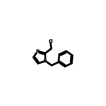 ClCc1nccn1Cc1ccccc1